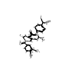 CNC(=O)c1ccc(-n2c(NC(C)C)nc3c(c2=O)C[C@@H](C)N(C(=O)c2ccc(Br)c(C(F)(F)F)c2)C3)cc1